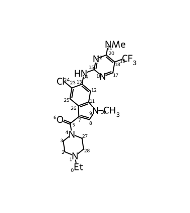 CCN1CCN(C(=O)c2cn(C)c3cc(Nc4ncc(C(F)(F)F)c(NC)n4)c(Cl)cc23)CC1